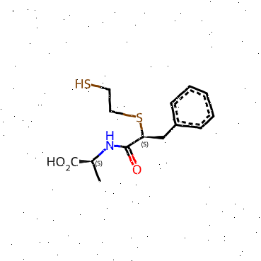 C[C@H](NC(=O)[C@H](Cc1ccccc1)SCCS)C(=O)O